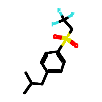 CC(C)Cc1ccc(S(=O)(=O)CC(F)(F)F)cc1